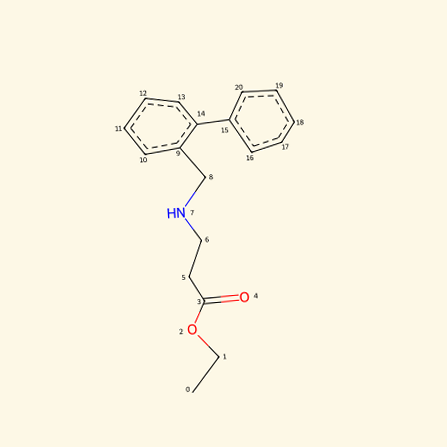 CCOC(=O)CCNCc1ccccc1-c1ccccc1